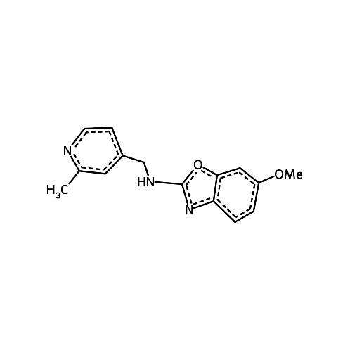 COc1ccc2nc(NCc3ccnc(C)c3)oc2c1